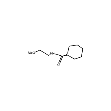 COCCNC(=O)N1CCCCC1